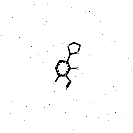 O=Cc1c(Cl)ccc(C2OCCO2)c1Cl